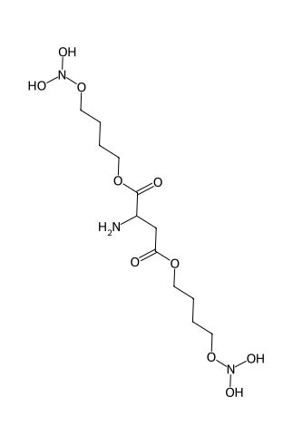 NC(CC(=O)OCCCCON(O)O)C(=O)OCCCCON(O)O